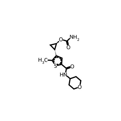 Cc1sc(C(=O)NC2CCOCC2)cc1[C@@H]1C[C@H]1OC(N)=O